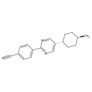 C[C@H]1CC[C@H](c2cnc(-c3ccc(C#N)cc3)nc2)CC1